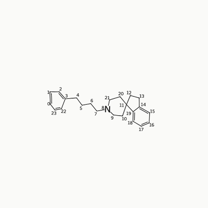 c1ccc(CCCCN2CCC3(CCc4ccccc43)CC2)cc1